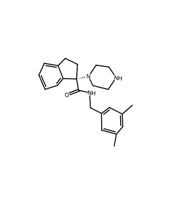 Cc1cc(C)cc(CNC(=O)[C@]2(N3CCNCC3)CCc3ccccc32)c1